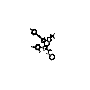 Cc1ccc(C#Cc2ccc(-c3c(CN4CCC5(C4)CC5(F)F)c(C(=O)NN4CCCCC4)nn3-c3ccc(Cl)cc3Cl)s2)cc1